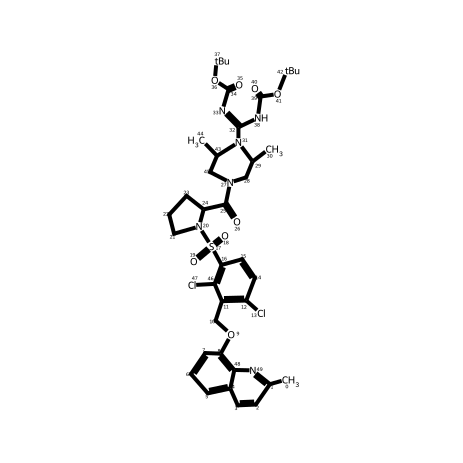 Cc1ccc2cccc(OCc3c(Cl)ccc(S(=O)(=O)N4CCCC4C(=O)N4CC(C)N(/C(=N/C(=O)OC(C)(C)C)NC(=O)OC(C)(C)C)C(C)C4)c3Cl)c2n1